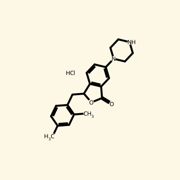 Cc1ccc(CC2OC(=O)c3cc(N4CCNCC4)ccc32)c(C)c1.Cl